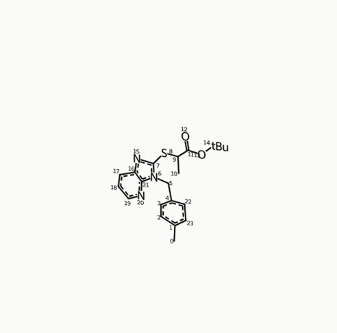 Cc1ccc(Cn2c(SC(C)C(=O)OC(C)(C)C)nc3cccnc32)cc1